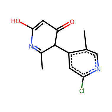 CC1=NC(O)=CC(=O)C1c1cc(Cl)ncc1C